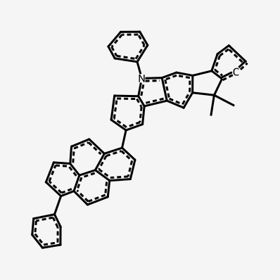 CC1(C)c2ccccc2-c2cc3c(cc21)c1cc(-c2ccc4ccc5c(-c6ccccc6)ccc6ccc2c4c65)ccc1n3-c1ccccc1